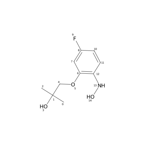 CC(C)(O)COc1cc(F)ccc1NO